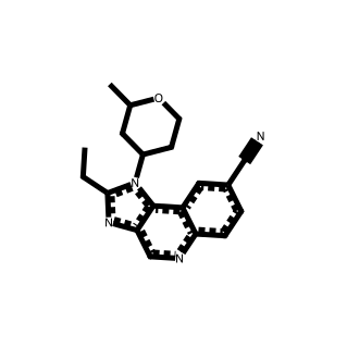 CCc1nc2cnc3ccc(C#N)cc3c2n1C1CCOC(C)C1